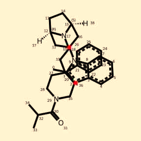 Cc1nc2ccccc2n1C1C[C@H]2CC[C@@H](C1)N2CCC1(c2ccccc2)CCN(C(=O)C(C)C)CC1